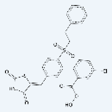 O=C(OO)c1cccc(Cl)c1.O=C1NC(=O)C(=Cc2ccc(S(=O)(=O)CCc3ccccc3)cc2)S1